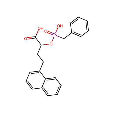 O=C(O)C(CCc1cccc2ccccc12)OP(=O)(O)Cc1ccccc1